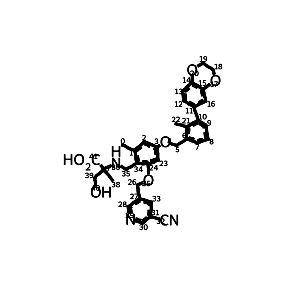 Cc1cc(OCc2cccc(-c3ccc4c(c3)OCCO4)c2C)cc(OCc2cncc(C#N)c2)c1CNC(C)(CO)C(=O)O